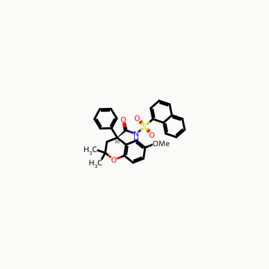 COc1ccc2c(c1)[C@@](C(=O)NS(=O)(=O)c1cccc3ccccc13)(c1ccccc1)CC(C)(C)O2